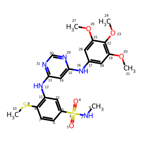 CNS(=O)(=O)c1ccc(SC)c(Nc2cc(Nc3cc(OC)c(OC)c(OC)c3)ncn2)c1